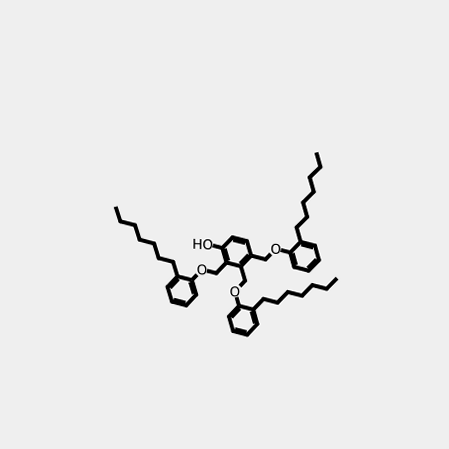 CCCCCCCc1ccccc1OCc1ccc(O)c(COc2ccccc2CCCCCCC)c1COc1ccccc1CCCCCCC